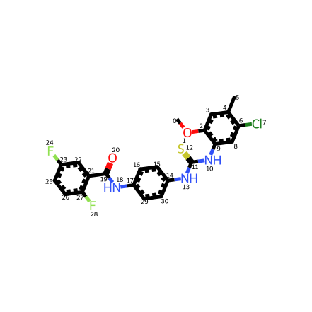 COc1cc(C)c(Cl)cc1NC(=S)Nc1ccc(NC(=O)c2cc(F)ccc2F)cc1